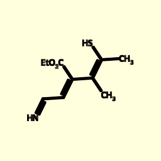 CCOC(=O)C(=C\C=N)/C(C)=C(/C)S